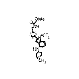 COCC(=O)NCc1nnc(-c2cc3c(NC4CCN(C)CC4)cccc3n2CC(F)(F)F)s1